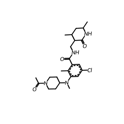 CC(=O)N1CCC(N(C)c2cc(Cl)cc(C(=O)NCC3C(=O)NC(C)CC3C)c2C)CC1